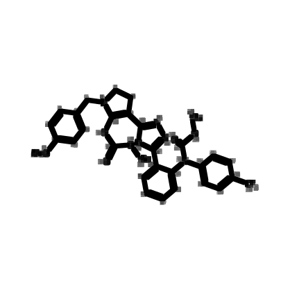 COc1ccc(CN2CCC(c3nnc(-c4ccccc4N(C(=O)OC(C)(C)C)c4ccc(C(F)(F)F)cc4)o3)=C2OC(=O)OC(C)(C)C)cc1